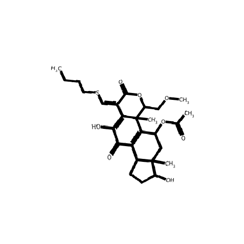 CCCCSC=C1C(=O)OC(COC)C2(C)C1=C(O)C(=O)C1=C2C(OC(C)=O)CC2(C)C(O)CCC12